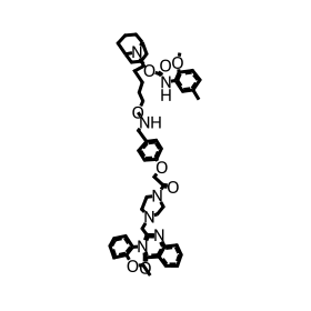 CCOc1ccccc1-n1c(CN2CCN(C(=O)COc3ccc(CNOCCCCCN4C5CCCC4CC(OC(=O)Nc4cc(C)ccc4OC)C5)cc3)CC2)nc2ccccc2c1=O